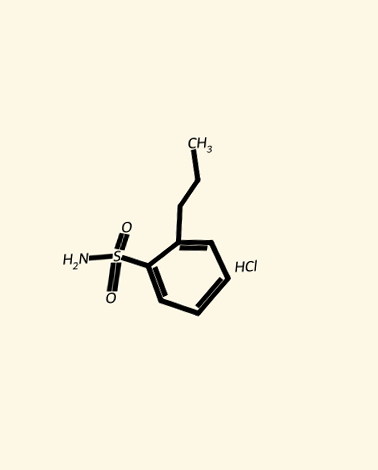 CCCc1ccccc1S(N)(=O)=O.Cl